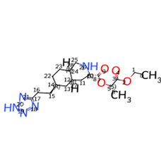 CCOC(=O)[C@H](C)OC(=O)[C@@H]1C[C@H]2C[C@@H](CCc3nn[nH]n3)CC[C@H]2CN1